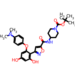 CN(C)c1ccc(Oc2cc(O)cc(O)c2-c2cc(C(=O)NC3CCN(C(=O)OC(C)(C)C)CC3)on2)cc1